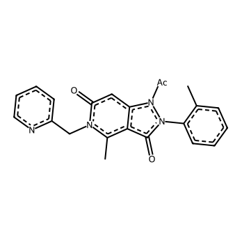 CC(=O)n1c2cc(=O)n(Cc3ccccn3)c(C)c2c(=O)n1-c1ccccc1C